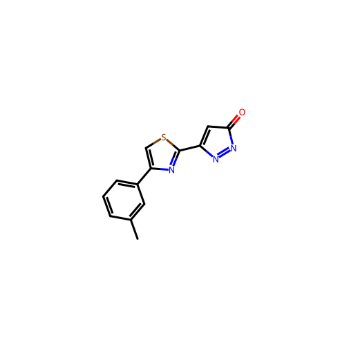 Cc1cccc(-c2csc(C3=CC(=O)N=N3)n2)c1